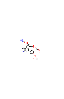 CCC(CC(CC(C)(CC(C)(C)C(=O)OCCCO)C(=O)OCCN(C)C)c1ccncc1)c1ccc(OC(=O)OC(C)(C)C)cc1